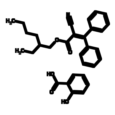 CCCCC(CC)COC(=O)C(C#N)=C(c1ccccc1)c1ccccc1.O=C(O)c1ccccc1O